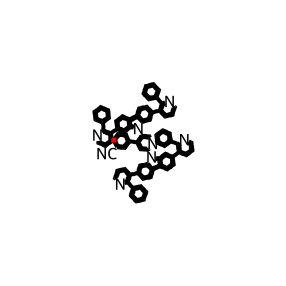 N#Cc1cccc(-c2cc(-n3c4cc(-c5cccnc5-c5ccccc5)ccc4c4ccc(-c5cccnc5-c5ccccc5)cc43)ncc2-n2c3cc(-c4cccnc4-c4ccccc4)ccc3c3ccc(-c4cccnc4-c4ccccc4)cc32)c1